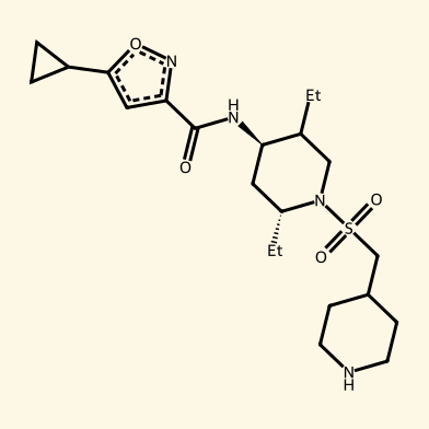 CCC1CN(S(=O)(=O)CC2CCNCC2)[C@H](CC)C[C@H]1NC(=O)c1cc(C2CC2)on1